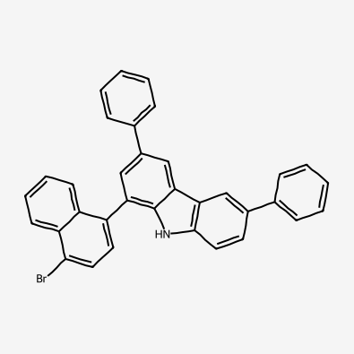 Brc1ccc(-c2cc(-c3ccccc3)cc3c2[nH]c2ccc(-c4ccccc4)cc23)c2ccccc12